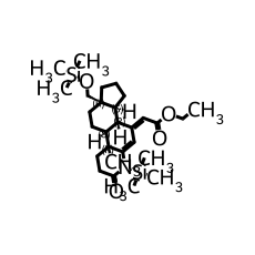 CCOC(=O)C=C1C=C2N([Si](C)(C)C)C(=O)CC[C@]2(C)[C@H]2CC[C@]3(CO[Si](C)(C)C)CCC[C@H]3[C@H]12